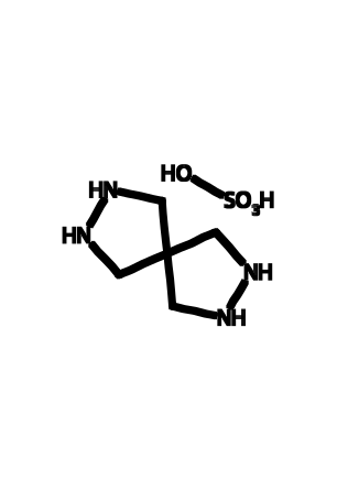 C1NNCC12CNNC2.O=S(=O)(O)O